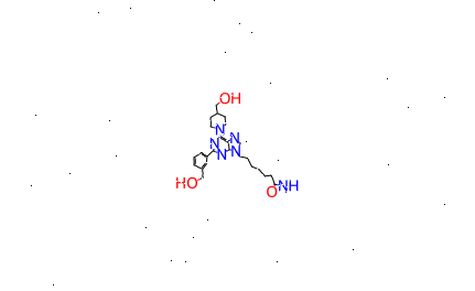 CNC(=O)CCCCCCn1cnc2c(N3CCC(CO)CC3)nc(-c3cccc(CO)c3)nc21